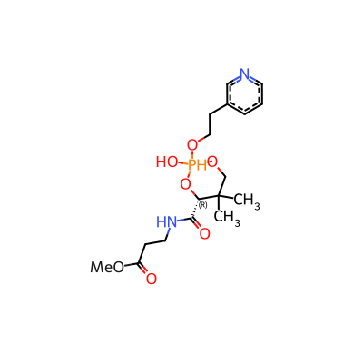 COC(=O)CCNC(=O)[C@@H]1O[PH](O)(OCCc2cccnc2)OCC1(C)C